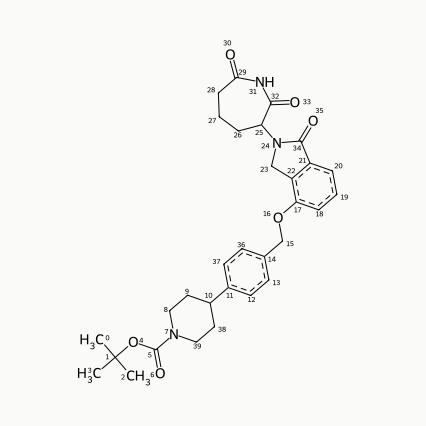 CC(C)(C)OC(=O)N1CCC(c2ccc(COc3cccc4c3CN(C3CCCC(=O)NC3=O)C4=O)cc2)CC1